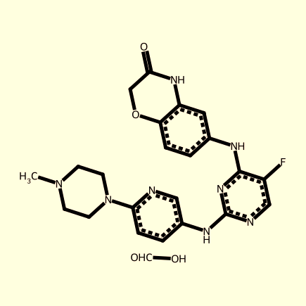 CN1CCN(c2ccc(Nc3ncc(F)c(Nc4ccc5c(c4)NC(=O)CO5)n3)cn2)CC1.O=CO